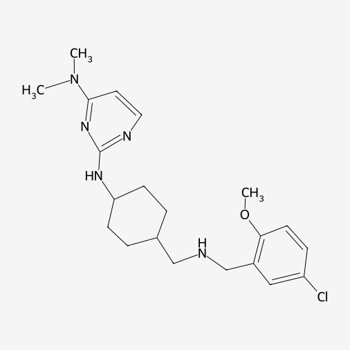 COc1ccc(Cl)cc1CNCC1CCC(Nc2nccc(N(C)C)n2)CC1